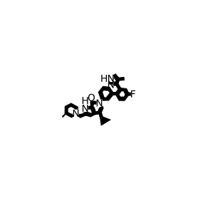 Cc1c[nH]nc1-c1cc(F)ccc1-c1cccc(-n2cc(C3CC3)c3cc(CN4CCC[C@H](C)C4)[nH]c3c2=O)c1